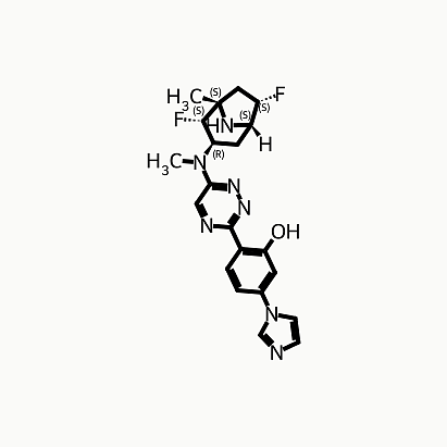 CN(c1cnc(-c2ccc(-n3ccnc3)cc2O)nn1)[C@@H]1C[C@@H]2N[C@@](C)(C[C@@H]2F)[C@H]1F